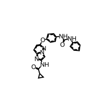 O=C(Nc1ccccc1)Nc1ccc(Oc2ccc3nc(NC(=O)C4CC4)cn3n2)cc1